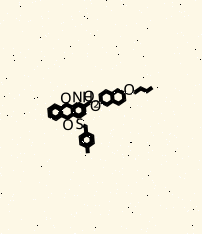 CCCCOC1CCC2CC(OC(=O)c3cc(SCc4ccc(C)cc4)c4c(c3N)C(=O)c3ccccc3C4=O)CCC2C1